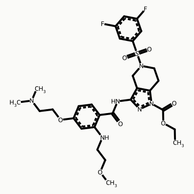 CCOC(=O)n1nc(NC(=O)c2ccc(OCCN(C)C)cc2NCCOC)c2c1CCN(S(=O)(=O)c1cc(F)cc(F)c1)C2